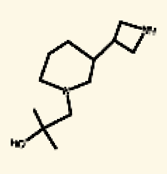 CC(C)(O)CN1CCCC(C2CNC2)C1